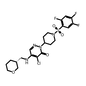 O=c1c(Cl)c(NC[C@H]2CCCOC2)cnn1C1CCN(S(=O)(=O)c2cc(F)c(F)cc2F)CC1